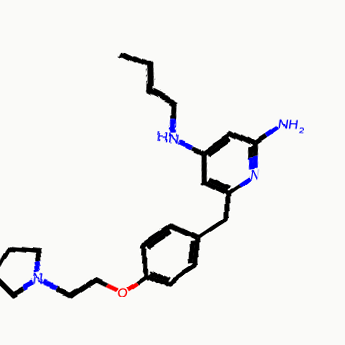 CCCCNc1cc(N)nc(Cc2ccc(OCCN3CCCC3)cc2)c1